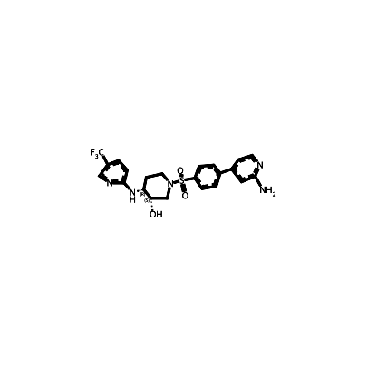 Nc1cc(-c2ccc(S(=O)(=O)N3CC[C@@H](Nc4ccc(C(F)(F)F)cn4)[C@@H](O)C3)cc2)ccn1